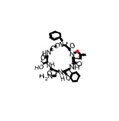 CC(C)C[C@H]1C(=O)N[C@@H](C2CCCCC2)C(=O)N[C@@H](CN)C(=O)N[C@@H]([C@H](C)O)C(=O)NCCN(CC2CCCCC2)[C@@H](C)C(=O)N1C